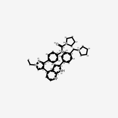 CCn1cc(-c2ccnc3[nH]c(-c4ccc(CN5CCCC5)cc4)cc23)c(-c2ccc(NC(=O)N3CCCC3)cc2)n1